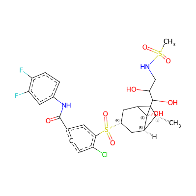 C[C@H]1CC2C[C@@H](S(=O)(=O)c3cc(C(=O)Nc4ccc(F)c(F)c4)ccc3Cl)C[C@H]1[C@]2(O)C(O)C(O)CNS(C)(=O)=O